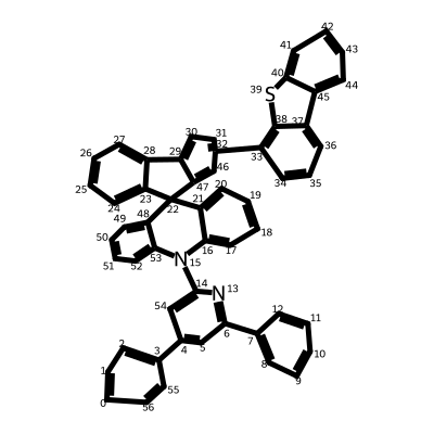 c1ccc(-c2cc(-c3ccccc3)nc(N3c4ccccc4C4(c5ccccc5-c5ccc(-c6cccc7c6sc6ccccc67)cc54)c4ccccc43)c2)cc1